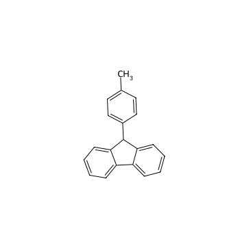 Cc1ccc(C2c3ccccc3-c3ccccc32)cc1